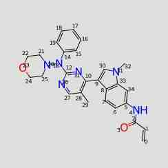 C=CC(=O)Nc1ccc2c(-c3nc(N(c4ccccc4)N4CCOCC4)ncc3C)cn(C)c2c1